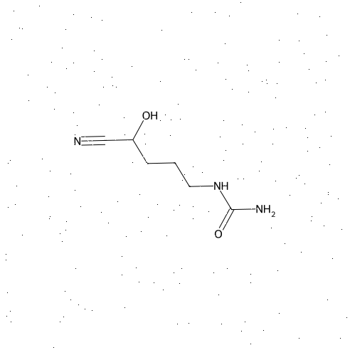 N#CC(O)CCCNC(N)=O